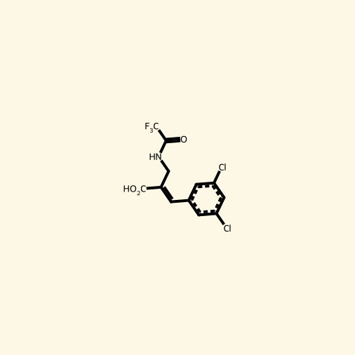 O=C(O)C(=Cc1cc(Cl)cc(Cl)c1)CNC(=O)C(F)(F)F